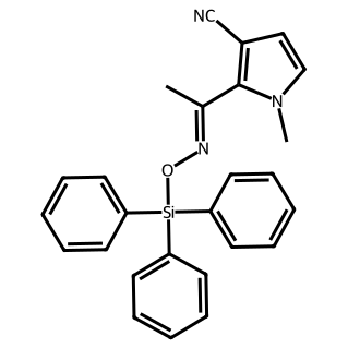 C/C(=N\O[Si](c1ccccc1)(c1ccccc1)c1ccccc1)c1c(C#N)ccn1C